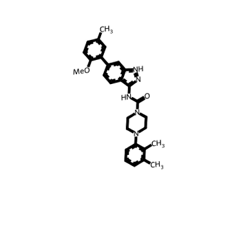 COc1ccc(C)cc1-c1ccc2c(NC(=O)N3CCN(c4cccc(C)c4C)CC3)n[nH]c2c1